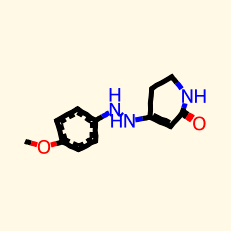 COc1ccc(NNC2=CC(=O)NCC2)cc1